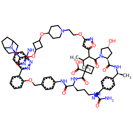 CC(C)C(C(=O)N1C[C@H](O)C[C@H]1C(=O)N[C@@H](C)c1ccc(C#N)cc1)c1cc(OCCN2CCC(OC3CC(Oc4cc(N5C6CCC5CN(c5cc(-c7ccccc7OCc7ccc(NC(=O)[C@H](CCCNC(N)=O)NC(=O)C8(C(=O)O)CCC8)cc7)nnc5N)C6)ccn4)C3)CC2)no1